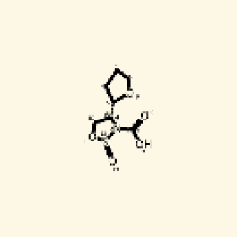 O=C(O)N1[C@@H](C2CCCO2)COS1=O